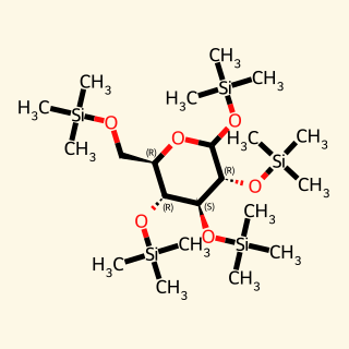 C[Si](C)(C)OC[C@H]1OC(O[Si](C)(C)C)[C@H](O[Si](C)(C)C)[C@@H](O[Si](C)(C)C)[C@@H]1O[Si](C)(C)C